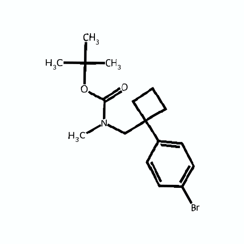 CN(CC1(c2ccc(Br)cc2)CCC1)C(=O)OC(C)(C)C